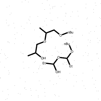 CCCCOC(CC)OC(O)CC.CCCCOCC(C)OCC(C)O